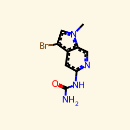 Cn1cc(Br)c2cc(NC(N)=O)ncc21